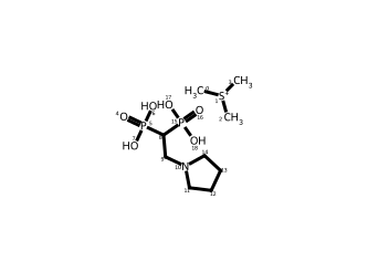 C[S+](C)C.O=P(O)(O)C(CN1CCCC1)P(=O)(O)O